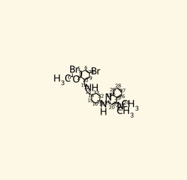 CCOc1c(Br)cc(Br)cc1CNCC1CCC(Nc2cc(N(C)C)c3ccccc3n2)CC1